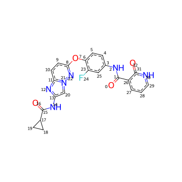 O=C(Nc1ccc(Oc2ccc3nc(NC(=O)C4CC4)cn3n2)c(F)c1)c1ccc[nH]c1=O